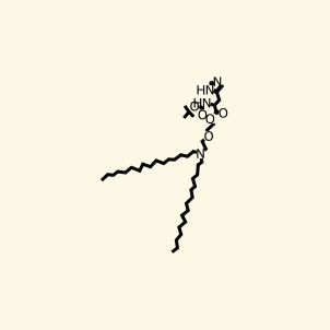 CCCCCCCCCCCCCCCCN(CCCCCCCCCCCCCCCC)CCOCCOC(=O)C(Cc1cnc[nH]1)NC(=O)OC(C)(C)C